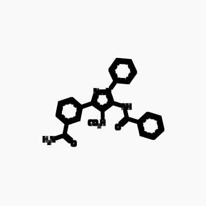 NC(=O)c1cccc(-c2nn(-c3ccccc3)c(NC(=O)c3ccccc3)c2C(=O)O)c1